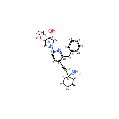 CO[C@H]1CN(c2ccc(C#CC3(N)CCCCC3)c(Cc3ccccc3)n2)C[C@H]1O